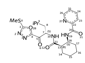 CSc1nnc(C(=O)[C@H](CC(C)C)NC(=O)[C@@H]2CCCC[C@@H]2NC(=O)c2ccccn2)o1